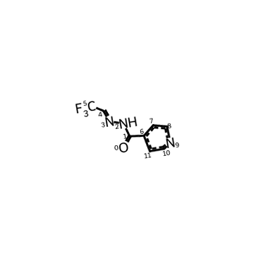 O=C(N/N=C/C(F)(F)F)c1ccncc1